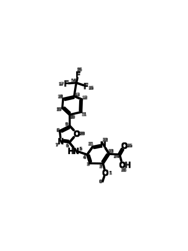 COc1cc(Nc2ncc(-c3ccc(C(F)(F)F)cc3)o2)cnc1C(=O)O